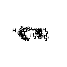 CC(c1ccc(OCCCCCCN(C)C(=O)OC(C)(C)C)cc1F)S(=O)(=O)Oc1ccc(Br)cc1